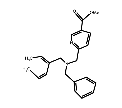 C/C=C\C(=C/C)CN(Cc1ccccc1)Cc1ccc(C(=O)OC)cn1